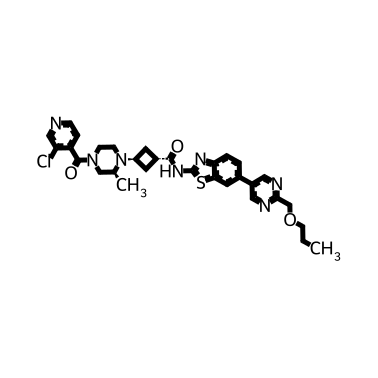 CCCOCc1ncc(-c2ccc3nc(NC(=O)[C@H]4C[C@@H](N5CCN(C(=O)c6ccncc6Cl)C[C@@H]5C)C4)sc3c2)cn1